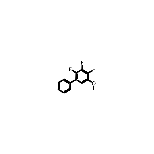 COc1cc(-c2ccccc2)c(F)c(F)c1F